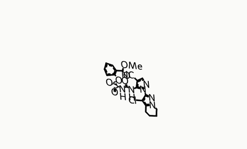 COC(=O)c1ccccc1OS(=O)(=O)NC(=O)Nc1c(C#N)cnn1-c1nn2c(c1Cl)CCCC2